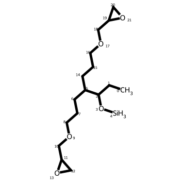 CCC(O[SiH3])C(CCCOCC1CO1)CCCOCC1CO1